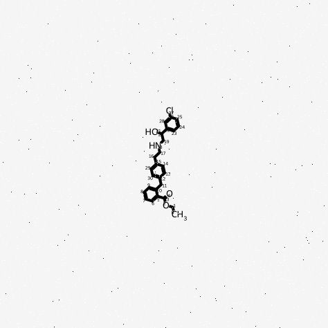 CCOC(=O)c1ccccc1Cc1ccc(CCNCC(O)c2cccc(Cl)c2)cc1